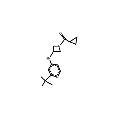 CC(C)(C)c1cc(NC2CN(C(=O)C3CC3)C2)ccn1